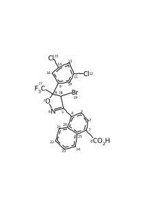 O=C(O)c1ccc(C2=NOC(c3cc(Cl)cc(Cl)c3)(C(F)(F)F)C2Br)c2ccccc12